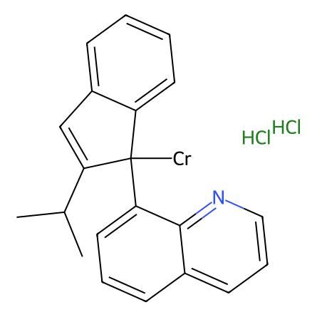 CC(C)C1=Cc2ccccc2[C]1([Cr])c1cccc2cccnc12.Cl.Cl